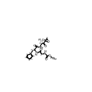 CC(C)(C)OC(=O)NCC(=O)N[C@@H](Cc1ccccc1)C(=O)NCC(=O)[C@@]1(C)CO1